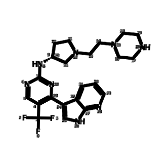 FC(F)(F)c1cnc(N[C@@H]2CCN(CCN3CCNCC3)C2)nc1-c1c[nH]c2ncccc12